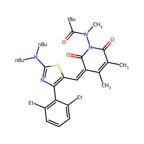 CCCCN(CCCC)c1nc(-c2c(CC)cccc2CC)c(/C=C2\C(=O)N(N(C)C(=O)C(C)(C)C)C(=O)C(C)=C2C)s1